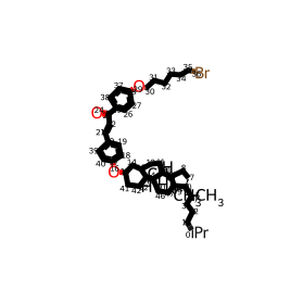 CC(C)CCC[C@@H](C)[C@H]1CC[C@H]2[C@@H]3CCC4CC(Oc5ccc(C=CC(=O)c6ccc(OCCCCCCBr)cc6)cc5)CC[C@]4(C)[C@H]3CC[C@]12C